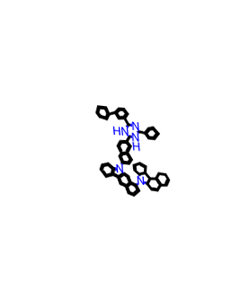 C1=CC2C3C4=C(C=CCC4)C=CC3N(c3cccc4cc5c6ccccc6n(-c6ccc7cc(C8NC(c9ccccc9)=NC(c9cccc(-c%10ccccc%10)c9)N8)ccc7c6)c5cc34)C2C=C1